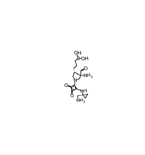 NCC1(Nc2c(N3C[C@H](CCCB(O)O)[C@](N)(C=O)C3)c(=O)c2=O)CC1